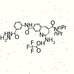 CCCN(CCC)C(=O)C1=Cc2ccc(C(=O)Nc3cccc(C(=O)NN)c3)cc2N=C(N)C1.O=C(O)C(F)(F)F